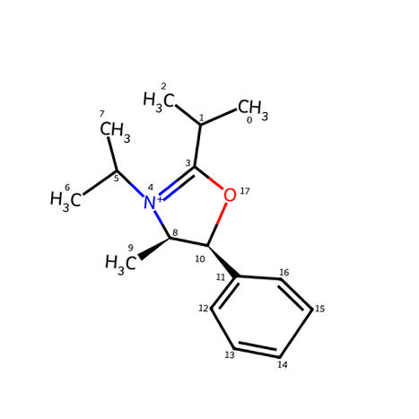 CC(C)C1=[N+](C(C)C)[C@H](C)[C@H](c2ccccc2)O1